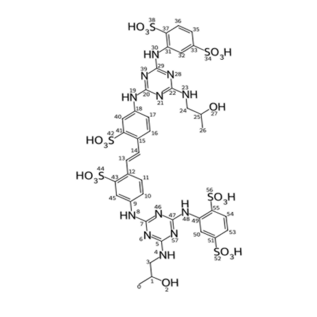 CC(O)CNc1nc(Nc2ccc(C=Cc3ccc(Nc4nc(NCC(C)O)nc(Nc5cc(S(=O)(=O)O)ccc5S(=O)(=O)O)n4)cc3S(=O)(=O)O)c(S(=O)(=O)O)c2)nc(Nc2cc(S(=O)(=O)O)ccc2S(=O)(=O)O)n1